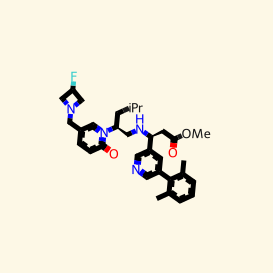 COC(=O)C[C@H](NC[C@H](CC(C)C)n1cc(CN2CC(F)C2)ccc1=O)c1cncc(-c2c(C)cccc2C)c1